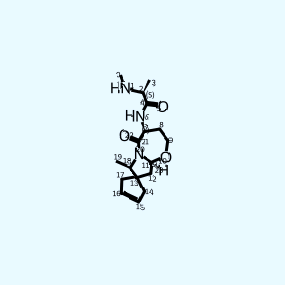 CN[C@@H](C)C(=O)N[C@H]1CCO[C@H]2CC3(CC=CC3)C(C)N2C1=O